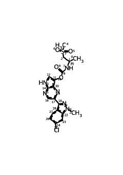 C[C@H](CS(C)(=O)=O)NC(=O)Oc1c[nH]c2ncc(-c3nn(C)c4cc(Cl)ccc34)nc12